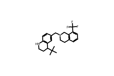 CC(C)(C)C1CCNc2ccc(CN3CCc4cccc(C(F)(F)F)c4C3)cc21